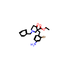 CCOC(=O)C1(Cc2ccc(N)cc2Br)CN(Cc2ccccc2)CCC1=O